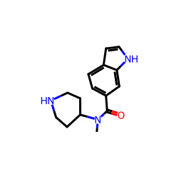 CN(C(=O)c1ccc2cc[nH]c2c1)C1CCNCC1